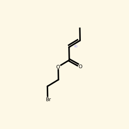 C/C=C/C(=O)OCCBr